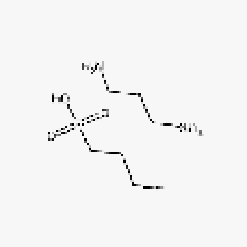 CCCCS(=O)(=O)O.NCCCN